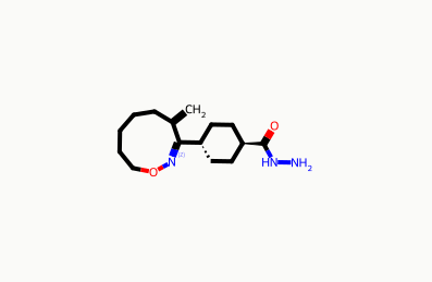 C=C1CCCCCO/N=C\1[C@H]1CC[C@H](C(=O)NN)CC1